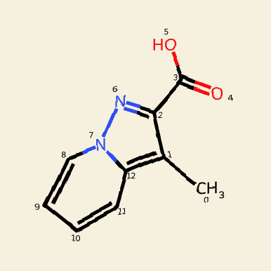 Cc1c(C(=O)O)nn2ccccc12